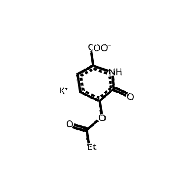 CCC(=O)Oc1ccc(C(=O)[O-])[nH]c1=O.[K+]